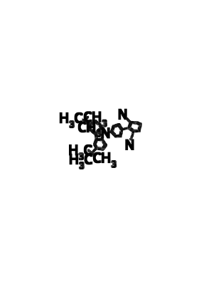 CC(C)(C)c1ccc2c(c1)c1cc(C(C)(C)C)ccc1n2-c1ccc(-c2c(C#N)cccc2C#N)cc1